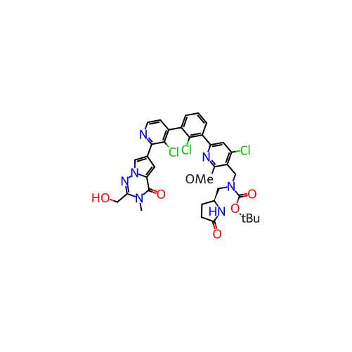 COc1nc(-c2cccc(-c3ccnc(-c4cc5c(=O)n(C)c(CO)nn5c4)c3Cl)c2Cl)cc(Cl)c1CN(C[C@@H]1CCC(=O)N1)C(=O)OC(C)(C)C